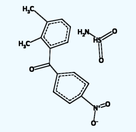 Cc1cccc(C(=O)c2ccc([N+](=O)[O-])cc2)c1C.N[SH](=O)=O